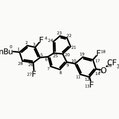 CCCCc1cc(F)c(-c2ccc(-c3cc(F)c(OC(F)(F)F)c(F)c3)c3ccccc23)c(F)c1